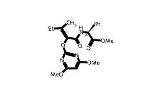 CC/C(C)=C(\Oc1nc(OC)cc(OC)n1)C(=O)N[C@H](C(=O)OC)C(C)C